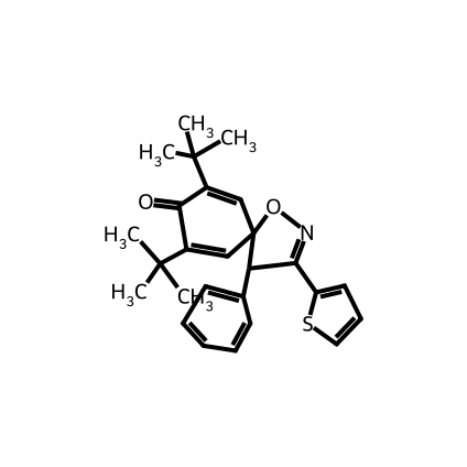 CC(C)(C)C1=CC2(C=C(C(C)(C)C)C1=O)ON=C(c1cccs1)C2c1ccccc1